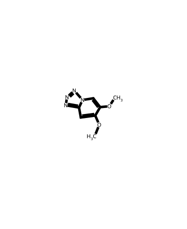 COc1cc2nnnn2cc1OC